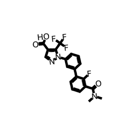 CN(C)C(=O)c1cccc(-c2cccc(-n3ncc(C(=O)O)c3C(F)(F)F)c2)c1F